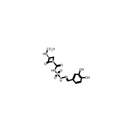 O=C(O)N[C@H]1CN(C(=O)NS(=O)(=O)NN=Cc2ccc(O)c(O)c2)C1=O